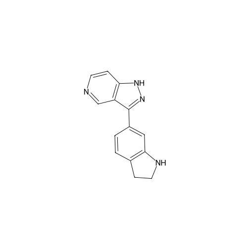 c1cc2[nH]nc(-c3ccc4c(c3)NCC4)c2cn1